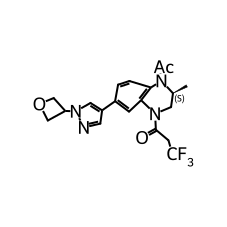 CC(=O)N1c2ccc(-c3cnn(C4COC4)c3)cc2N(C(=O)CC(F)(F)F)C[C@@H]1C